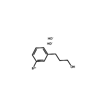 [B+2]c1cccc(CCCO)c1.[OH-].[OH-]